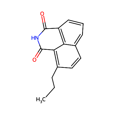 CCCc1ccc2cccc3c2c1C(=O)NC3=O